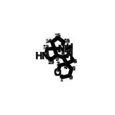 C1COCC2(C1)CNC2C1CNCC12CCCN2